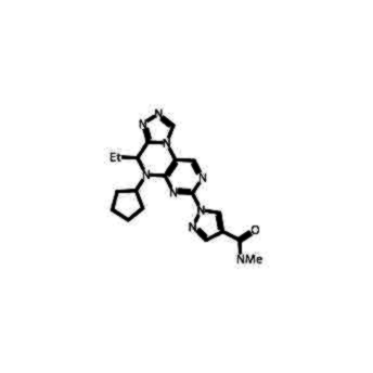 CCC1c2nncn2-c2cnc(-n3cc(C(=O)NC)cn3)nc2N1C1CCCC1